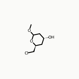 COC1C[C@H](O)C[C@@H](CCl)O1